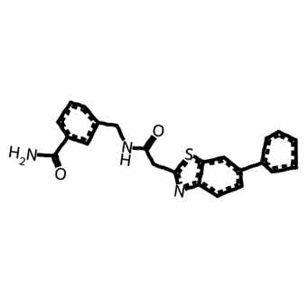 NC(=O)c1cccc(CNC(=O)Cc2nc3ccc(-c4ccccc4)cc3s2)c1